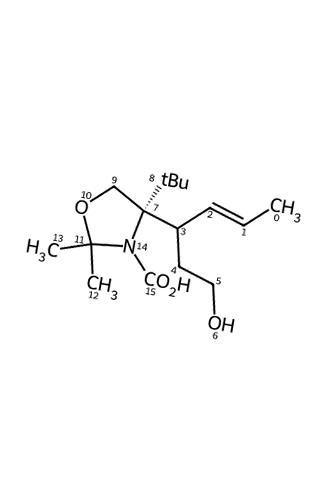 CC=CC(CCO)[C@]1(C(C)(C)C)COC(C)(C)N1C(=O)O